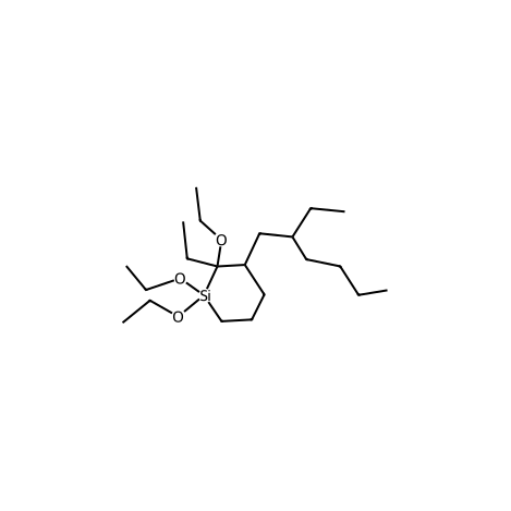 CCCCC(CC)CC1CCC[Si](OCC)(OCC)C1(CC)OCC